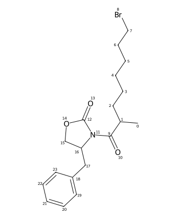 CC(CCCCCCBr)C(=O)N1C(=O)OCC1Cc1ccccc1